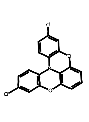 Clc1ccc2c(c1)Oc1cccc3c1B2c1ccc(Cl)cc1O3